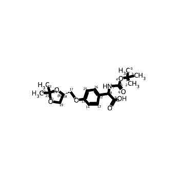 CC(C)(C)OC(=O)NC(C(=O)O)c1ccc(OC[C@@H]2COC(C)(C)O2)cc1